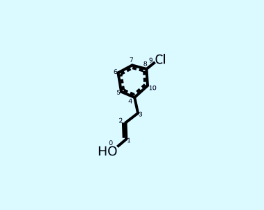 OC=CCc1cccc(Cl)c1